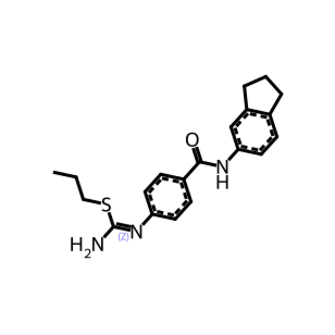 CCCS/C(N)=N\c1ccc(C(=O)Nc2ccc3c(c2)CCC3)cc1